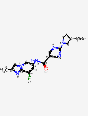 CN[C@@H]1CCN(c2ncc(C(=O)Nc3cc(F)c4nc(C)cn4c3)cn2)C1